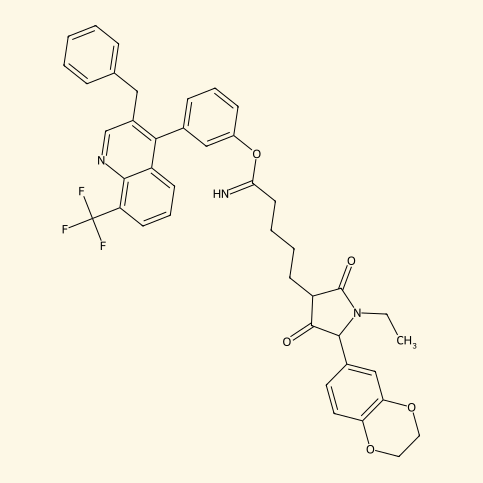 CCN1C(=O)C(CCCCC(=N)Oc2cccc(-c3c(Cc4ccccc4)cnc4c(C(F)(F)F)cccc34)c2)C(=O)C1c1ccc2c(c1)OCCO2